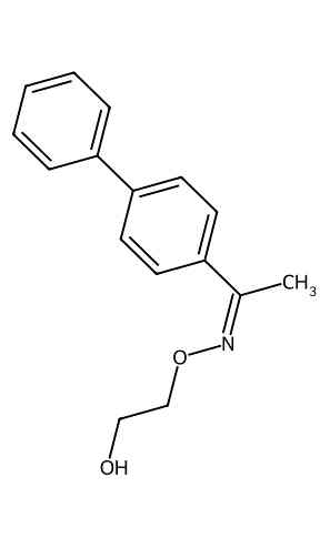 C/C(=N/OCCO)c1ccc(-c2ccccc2)cc1